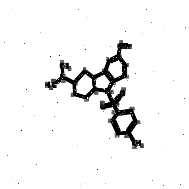 COc1ccc2c(c1)C1CC(N(C)C)CCC1N2S(=O)(=O)c1ccc(C)cc1